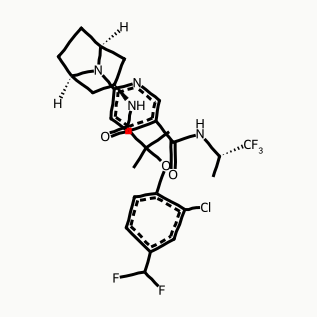 C[C@H](NC(=O)c1ccc(N2[C@@H]3CC[C@H]2C[C@@H](NC(=O)C(C)(C)Oc2ccc(C(F)F)cc2Cl)C3)nc1)C(F)(F)F